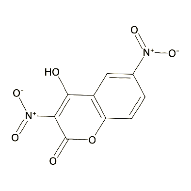 O=c1oc2ccc([N+](=O)[O-])cc2c(O)c1[N+](=O)[O-]